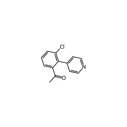 CC(=O)c1cccc(Cl)c1-c1ccncc1